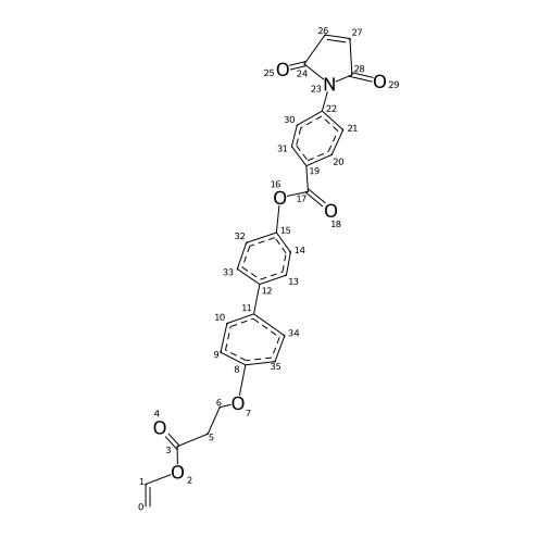 C=COC(=O)CCOc1ccc(-c2ccc(OC(=O)c3ccc(N4C(=O)C=CC4=O)cc3)cc2)cc1